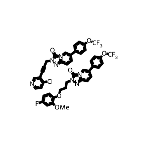 COc1cc(F)ccc1OCCCn1nc2ccc(-c3ccc(OC(F)(F)F)cc3)cn2c1=O.O=c1n(CC#Cc2cnccc2Cl)nc2ccc(-c3ccc(OC(F)(F)F)cc3)cn12